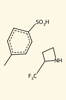 Cc1ccc(S(=O)(=O)O)cc1.FC(F)(F)C1CCN1